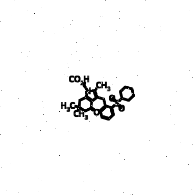 Cc1c(Cc2ccccc2S(=O)(=O)C2CCCCC2)c2c(n1CC(=O)O)CC(C)(C)CC2=O